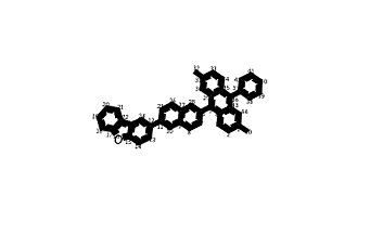 Cc1ccc2c(-c3ccc4cc(-c5ccc6oc7ccccc7c6c5)ccc4c3)c3cc(C)ccc3c(-c3ccccc3)c2c1